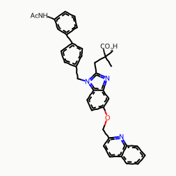 CC(=O)Nc1cccc(-c2ccc(Cn3c(CC(C)(C)C(=O)O)nc4cc(OCc5ccc6ccccc6n5)ccc43)cc2)c1